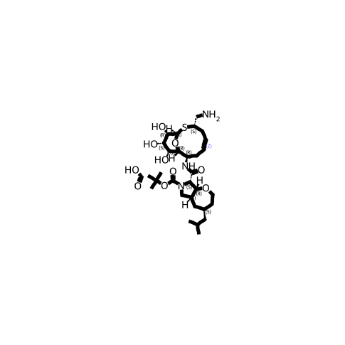 CC(C)C[C@@H]1CCO[C@@H]2[C@@H](C1)CN(C(=O)OC(C)(C)C)[C@@H]2C(=O)N[C@@H]1C/C=C\C[C@@H](CN)S[C@H]2O[C@H]1[C@H](O)[C@H](O)[C@H]2O.O=CO